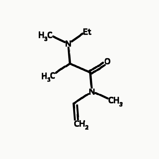 C=CN(C)C(=O)C(C)N(C)CC